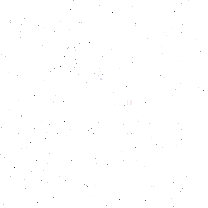 COC(=O)CC(O)c1ccnc2ccc(OC)nc12